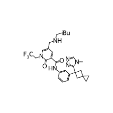 CCC(C)CNCc1cc(C(=O)Nc2cccc(C3(c4nncn4C)CC4(CC4)C3)c2)c(=O)n(CC(F)(F)F)c1